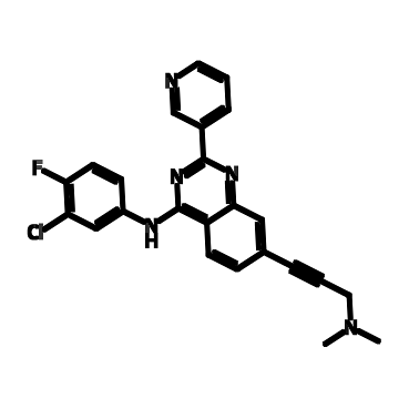 CN(C)CC#Cc1ccc2c(Nc3ccc(F)c(Cl)c3)nc(-c3cccnc3)nc2c1